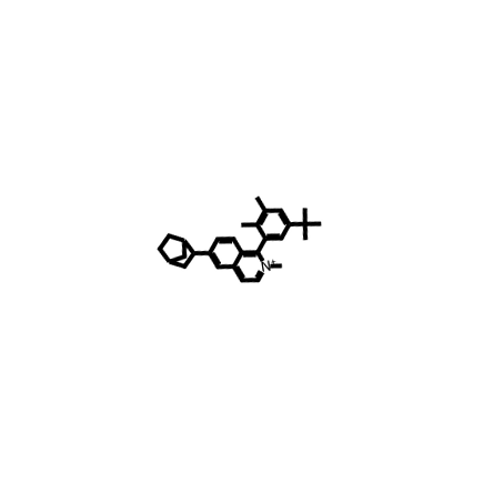 Cc1cc(C(C)(C)C)cc(-c2c3ccc(C4CC5CCC4C5)cc3cc[n+]2C)c1C